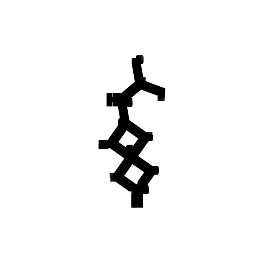 CC(C)NC1CC2(CNC2)C1